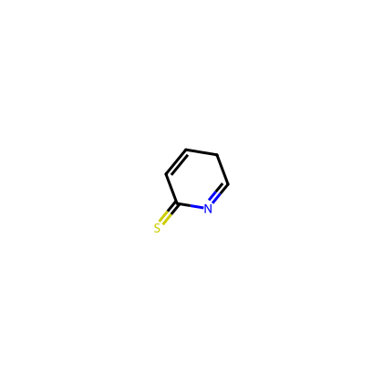 S=C1C=CCC=N1